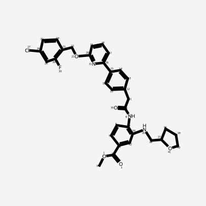 COC(=O)c1ccc(NC(=O)Cc2ccc(-c3cccc(OCc4ccc(Cl)cc4F)n3)cc2)c(NCC2CCCO2)c1